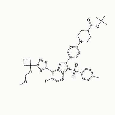 COCOC1(c2ncc(-c3c(F)cnc4c3cc(-c3ccc(N5CCN(C(=O)OC(C)(C)C)CC5)cc3)n4S(=O)(=O)c3ccc(C)cc3)s2)CCC1